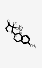 CCC1(C)C(=O)CC[C@H]1[C@@H]1CCc2cc(C)ccc2[C@H]1C